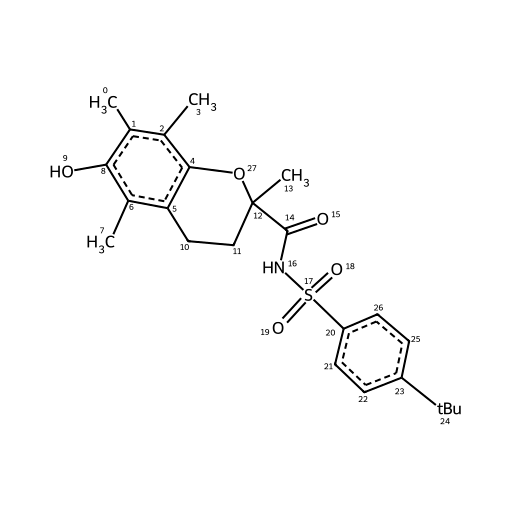 Cc1c(C)c2c(c(C)c1O)CCC(C)(C(=O)NS(=O)(=O)c1ccc(C(C)(C)C)cc1)O2